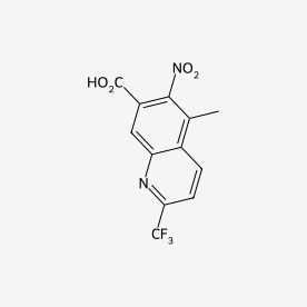 Cc1c([N+](=O)[O-])c(C(=O)O)cc2nc(C(F)(F)F)ccc12